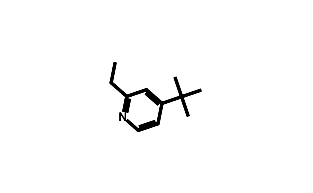 CCc1cc(C(C)(C)C)ccn1